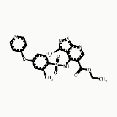 CCOC(=O)c1cnc2snc(C)c2c1NS(=O)(=O)c1ccc(Oc2ccncc2)cc1C